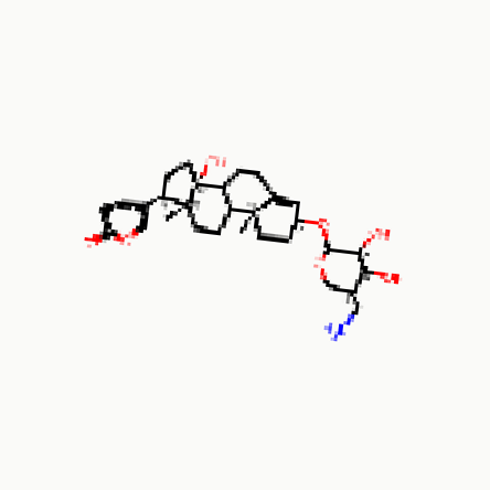 C[C@]12CC[C@H](OC3OC[C@H](CN)[C@H](O)[C@@H]3O)C=C1CCC1C2CC[C@]2(C)[C@@H](c3ccc(=O)oc3)CC[C@]12O